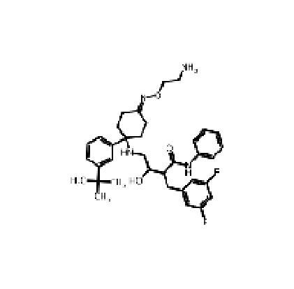 CC(C)(C)c1cccc(C2(NCC(O)C(Cc3cc(F)cc(F)c3)C(=O)Nc3ccccc3)CCC(=NOCCN)CC2)c1